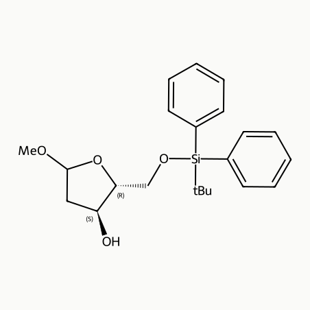 COC1C[C@H](O)[C@@H](CO[Si](c2ccccc2)(c2ccccc2)C(C)(C)C)O1